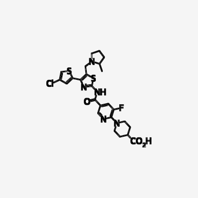 CC1CCCN1Cc1sc(NC(=O)c2cnc(N3CCC(C(=O)O)CC3)c(F)c2)nc1-c1cc(Cl)cs1